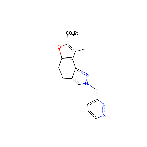 CCOC(=O)c1oc2c(c1C)-c1nn(Cc3cccnn3)cc1CC2